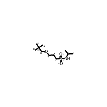 CC(C)NS(=O)(=O)CCCOCC(C)(C)C